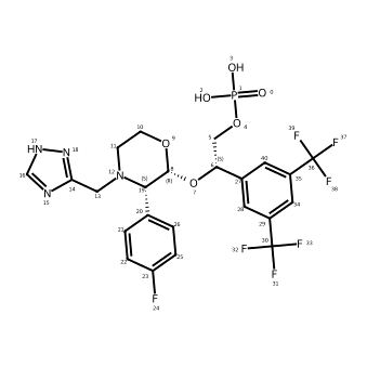 O=P(O)(O)OC[C@@H](O[C@H]1OCCN(Cc2nc[nH]n2)[C@H]1c1ccc(F)cc1)c1cc(C(F)(F)F)cc(C(F)(F)F)c1